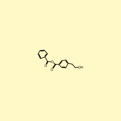 O=C(OC(=O)c1ccc(CCO)cc1)c1ccccc1